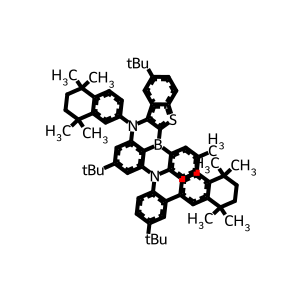 Cc1ccc2c(c1)B1c3sc4ccc(C(C)(C)C)cc4c3N(c3ccc4c(c3)C(C)(C)CCC4(C)C)c3cc(C(C)(C)C)cc(c31)N2c1ccc(C(C)(C)C)cc1-c1ccc2c(c1)C(C)(C)CCC2(C)C